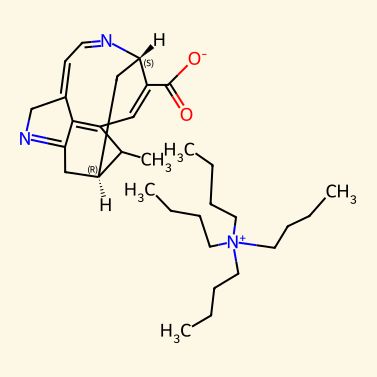 CC1C2=C3C4=CC=N[C@@H](C[C@@H]1CC3=NC4)C(C(=O)[O-])=C2.CCCC[N+](CCCC)(CCCC)CCCC